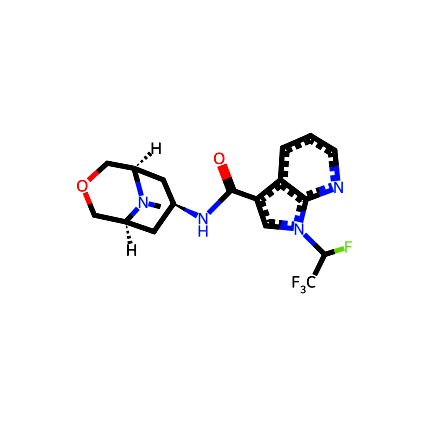 CN1[C@@H]2COC[C@H]1C[C@@H](NC(=O)c1cn(C(F)C(F)(F)F)c3ncccc13)C2